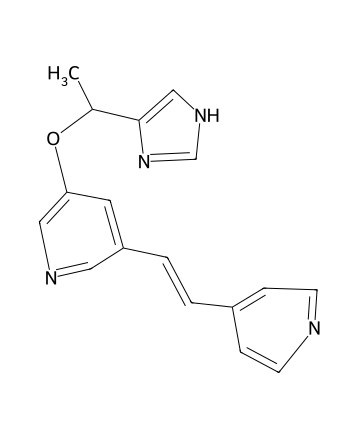 CC(Oc1cncc(C=Cc2ccncc2)c1)c1c[nH]cn1